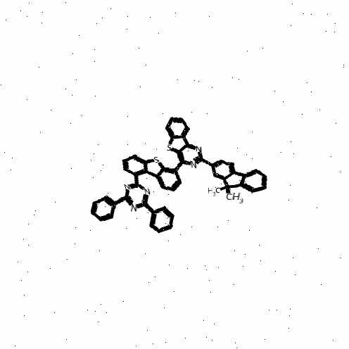 CC1(C)c2ccccc2-c2ccc(-c3nc(-c4cccc5c4sc4cccc(-c6nc(-c7ccccc7)nc(-c7ccccc7)n6)c45)c4sc5ccccc5c4n3)cc21